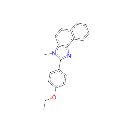 CCOc1ccc(-c2nc3c4ccccc4ccc3n2C)cc1